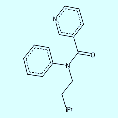 CC(C)CCN(C(=O)c1cccnc1)c1ccccc1